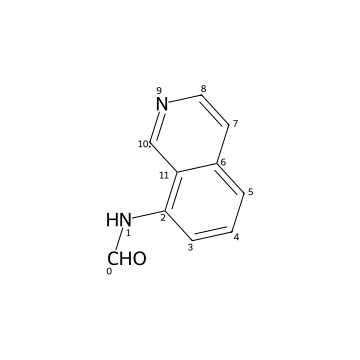 O=CNc1cccc2ccn[c]c12